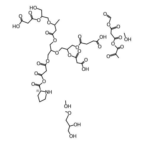 CC(=O)C(=O)OC(=O)CC(=O)OC=O.CC(CC(=O)OCC(COC(=O)CC(=O)OC(=O)[C@@H]1CCCN1)OCC(COC(=O)CCC(=O)O)OC(=O)CC(=O)O)OCC(CO)OC(=O)CC(=O)O.CO.CO.COCC(O)CO